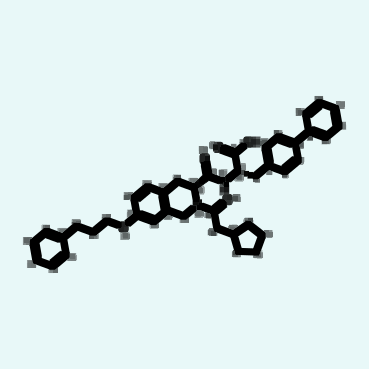 O=C(O)[C@H](Cc1ccc(-c2ccccc2)cc1)NC(=O)[C@@H]1Cc2ccc(OCCCc3ccccc3)cc2CN1C(=O)CC1CCCC1